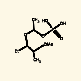 CCC(OC(C)OP(=O)(O)O)C(C)OC